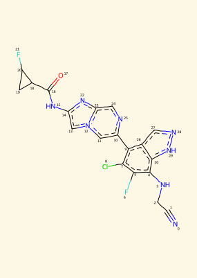 N#CCNc1c(F)c(Cl)c(-c2cn3cc(NC(=O)C4CC4F)nc3cn2)c2cn[nH]c12